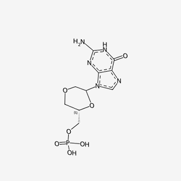 Nc1nc2c(ncn2C2COC[C@@H](COP(=O)(O)O)O2)c(=O)[nH]1